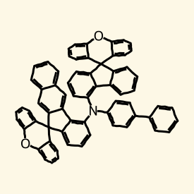 c1ccc(-c2ccc(N(c3cccc4c3-c3ccccc3C43c4ccccc4Oc4ccccc43)c3cccc4c3-c3cc5ccccc5cc3C43c4ccccc4Oc4ccccc43)cc2)cc1